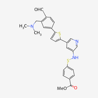 COC(=O)c1ccc(SNc2cncc(-c3ccc(-c4ccc(C=O)c(CN(C)C)c4)s3)c2)cc1